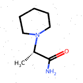 C[C@@H](C(N)=O)N1CCCCC1